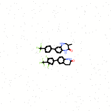 CC1CNc2cc(-c3ccc(C(F)(F)F)cc3)ccc2NC1=O.O=C1CCc2cc(-c3cc(F)c(C(F)(F)F)c(F)c3)ccc2N1